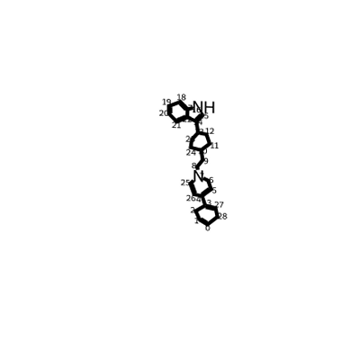 C1=CCC(C2=CCN(CCC3CCC(c4c[nH]c5ccccc45)CC3)C=C2)=CC1